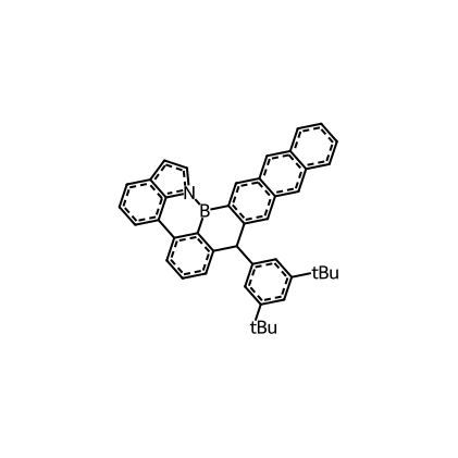 CC(C)(C)c1cc(C2c3cc4cc5ccccc5cc4cc3B3c4c(cccc42)-c2cccc4ccn3c24)cc(C(C)(C)C)c1